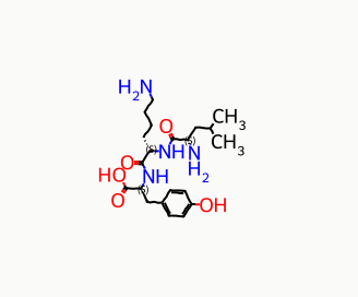 CC(C)C[C@H](N)C(=O)N[C@@H](CCCCN)C(=O)N[C@@H](Cc1ccc(O)cc1)C(=O)O